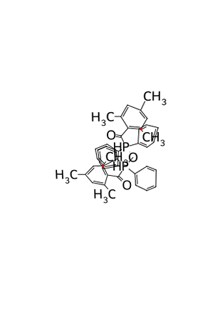 Cc1cc(C)c(C(=O)[PH](O[PH](C(=O)c2c(C)cc(C)cc2C)(c2ccccc2)c2ccccc2)(c2ccccc2)c2ccccc2)c(C)c1